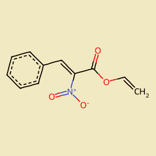 C=COC(=O)C(=Cc1ccccc1)[N+](=O)[O-]